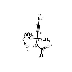 O=PO.[Li][C](=O)OC(C)(C)C#CCC